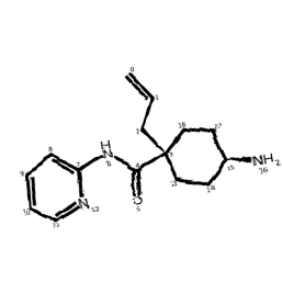 C=CC[C@]1(C(=O)Nc2ccccn2)CC[C@H](N)CC1